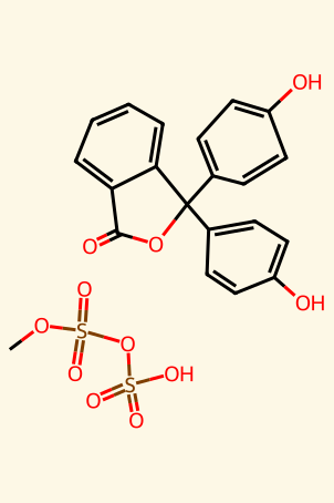 COS(=O)(=O)OS(=O)(=O)O.O=C1OC(c2ccc(O)cc2)(c2ccc(O)cc2)c2ccccc21